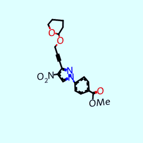 COC(=O)c1ccc(-n2cc([N+](=O)[O-])c(C#CCOC3CCCCO3)n2)cc1